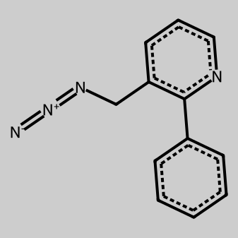 [N-]=[N+]=NCc1cccnc1-c1ccccc1